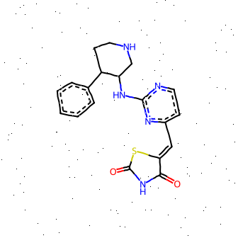 O=C1NC(=O)C(=Cc2ccnc(NC3CNCCC3c3ccccc3)n2)S1